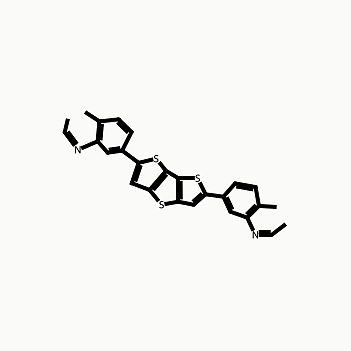 C/C=N\c1cc(-c2cc3sc4cc(-c5ccc(C)c(/N=C\C)c5)sc4c3s2)ccc1C